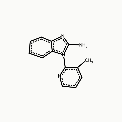 Cc1cccnc1-n1c(N)nc2ccccc21